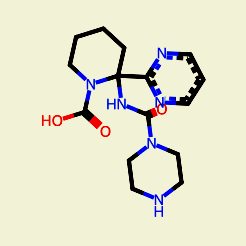 O=C(NC1(c2ncccn2)CCCCN1C(=O)O)N1CCNCC1